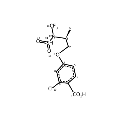 C[C@@H](COc1ccc(C(=O)O)c(Cl)c1)N([SH](=O)=O)C(F)(F)F